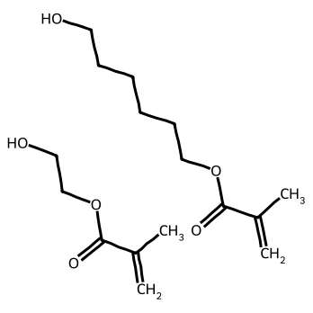 C=C(C)C(=O)OCCCCCCO.C=C(C)C(=O)OCCO